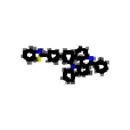 c1ccc(-c2nc3ccccc3c3c2ccc2c4ccccc4n(-c4cccc(-c5ccc(-c6nc7ccccc7s6)cc5)c4)c23)cc1